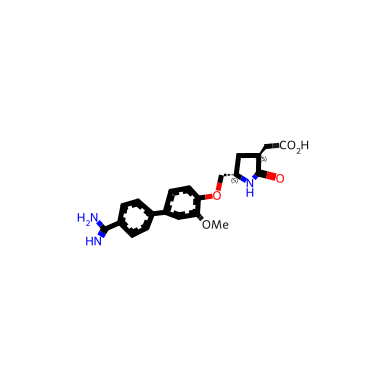 COc1cc(-c2ccc(C(=N)N)cc2)ccc1OC[C@@H]1C[C@@H](CC(=O)O)C(=O)N1